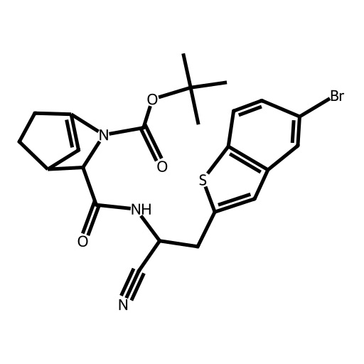 CC(C)(C)OC(=O)N1C2=CC(CC2)C1C(=O)NC(C#N)Cc1cc2cc(Br)ccc2s1